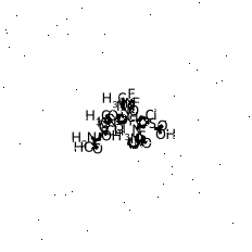 CP(=O)(O)CCC(N)C(=O)O.Cc1nn(-c2cc(NS(C)(=O)=O)c(Cl)cc2Cl)c(=O)n1C(F)F.O=C(O)CSc1cc(N=c2sc(=O)n3n2CCCC3)c(F)cc1Cl